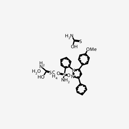 C.COc1ccc(-c2cc(-c3ccccc3)nn2-c2ccccc2S(N)(=O)=O)cc1.NC(O)=S.NC(O)=S.O